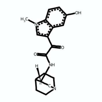 Cn1cc(C(=O)C(=O)N[C@@H]2CN3CCC2CC3)c2cc(O)ccc21